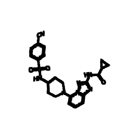 N#Cc1ccc(S(=O)(=O)NC2CCN(c3cccc4nc(NC(=O)C5CC5)nn34)CC2)cc1